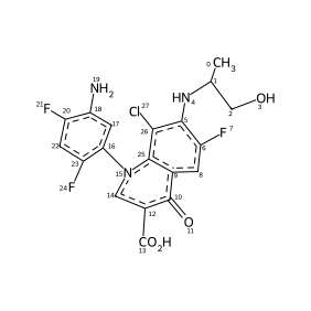 CC(CO)Nc1c(F)cc2c(=O)c(C(=O)O)cn(-c3cc(N)c(F)cc3F)c2c1Cl